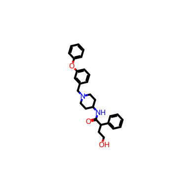 O=C(NC1CCN(Cc2cccc(Oc3ccccc3)c2)CC1)C(CCO)c1ccccc1